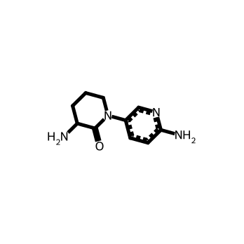 Nc1ccc(N2CCCC(N)C2=O)cn1